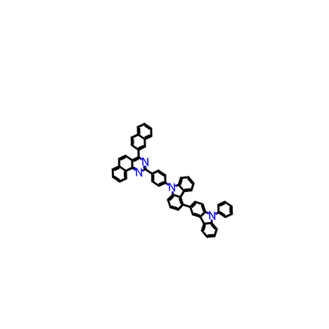 c1ccc(-n2c3ccccc3c3cc(-c4cccc5c4c4ccccc4n5-c4ccc(-c5nc(-c6ccc7ccccc7c6)c6ccc7ccccc7c6n5)cc4)ccc32)cc1